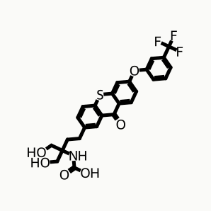 O=C(O)NC(CO)(CO)CCc1ccc2sc3cc(Oc4cccc(C(F)(F)F)c4)ccc3c(=O)c2c1